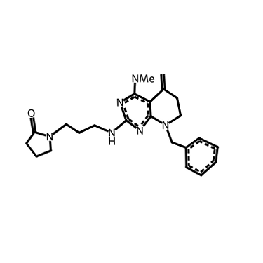 C=C1CCN(Cc2ccccc2)c2nc(NCCCN3CCCC3=O)nc(NC)c21